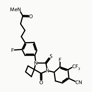 CNC(=O)CCCc1ccc(N2C(=S)N(C3CC=C(C#N)C(C(F)(F)F)=C3F)C(=O)C23CCC3)cc1F